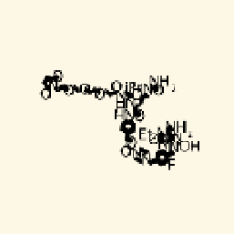 CCOc1nc(N)c2nc(O)n(Cc3ccc(CN4CCN(C(=O)OCc5ccc(NC(=O)[C@H](CCCNC(N)=O)NC(=O)[C@@H](NC(=O)CCOCCOCCOCCN6C(=O)C=CC6=O)C(C)C)cc5)CC4)cc3F)c2n1